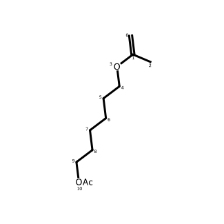 C=C(C)OCCCCCCOC(C)=O